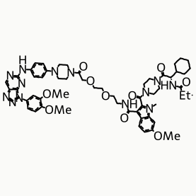 C[CH]C(=O)N[C@H](C(=O)N1CCN(C(=O)c2c(C(=O)NCCOCCOCC(=O)N3CCN(c4ccc(Nc5ncc6nnn(-c7ccc(OC)c(OC)c7)c6n5)cc4)CC3)c3ccc(OC)cc3n2C)CC1)C1CCCCC1